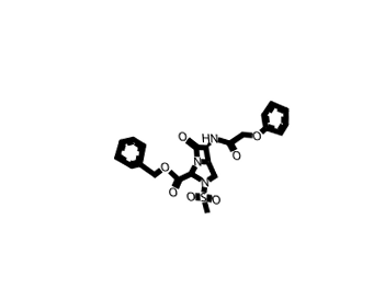 CS(=O)(=O)N1CC2[C@H](NC(=O)COc3ccccc3)C(=O)N2C1C(=O)OCc1ccccc1